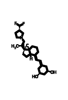 C[C@@H](CN1CC[C@H](C(F)F)C1)[C@H]1CC[C@H]2/C(=C/C=C3C[C@@H](O)C[C@H](O)C3)CCC[C@]12C